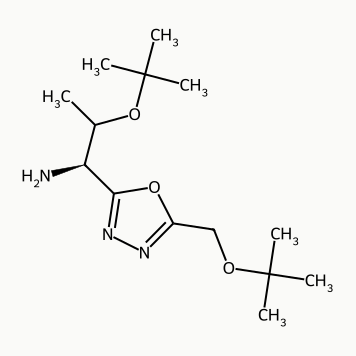 CC(OC(C)(C)C)[C@H](N)c1nnc(COC(C)(C)C)o1